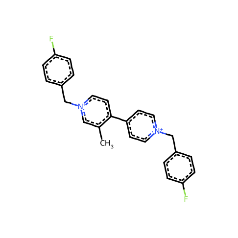 Cc1c[n+](Cc2ccc(F)cc2)ccc1-c1cc[n+](Cc2ccc(F)cc2)cc1